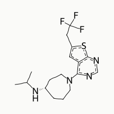 CC(C)N[C@H]1CCCN(c2ncnc3sc(CC(F)(F)F)cc23)CC1